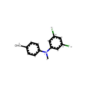 CN(c1ccc(C=O)cc1)c1cc(F)cc(F)c1